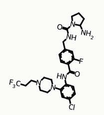 NC1CCCN1C(=O)NCc1ccc(C(=O)Nc2ccc(Cl)cc2N2CCN(CCC(F)(F)F)CC2)c(F)c1